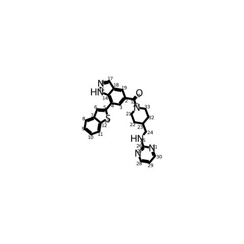 O=C(c1cc(-c2cc3ccccc3s2)c2[nH]ncc2c1)N1CCC(CNc2ncccn2)CC1